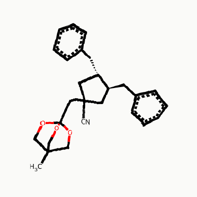 CC12COC(CC3(C#N)C[C@H](Cc4ccccc4)[C@@H](Cc4ccccc4)C3)(OC1)OC2